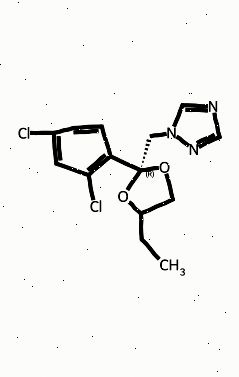 CCC1CO[C@](Cn2cncn2)(c2ccc(Cl)cc2Cl)O1